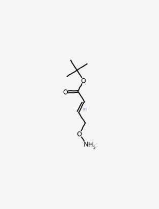 CC(C)(C)OC(=O)/C=C/CON